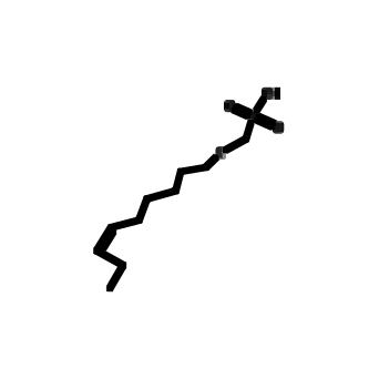 CC/C=C\CCCCCCCS(=O)(=O)O